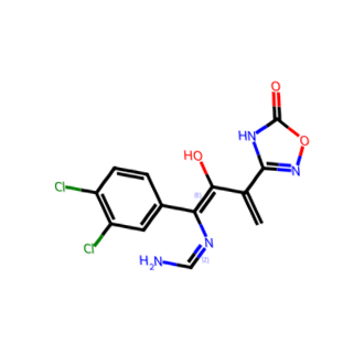 C=C(/C(O)=C(\N=C/N)c1ccc(Cl)c(Cl)c1)c1noc(=O)[nH]1